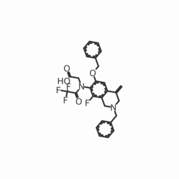 C=C1CN(Cc2ccccc2)Cc2c1cc(OCc1ccccc1)c(N(CC(=O)O)C(=O)C(F)(F)F)c2F